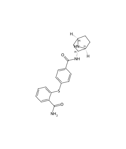 NC(=O)c1ccccc1Sc1ccc(C(=O)N[C@@H]2C[C@H]3CC[C@@H]2N3)cc1